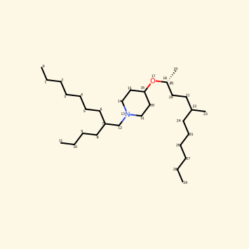 CCCCCCCC(CCCC)CN1CCC(O[C@H](C)CCC(C)CCCCCC)CC1